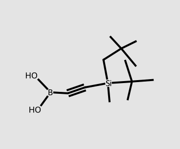 CC(C)(C)C[Si](C)(C#CB(O)O)C(C)(C)C